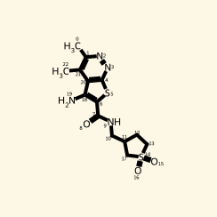 Cc1nnc2sc(C(=O)NCC3CCS(=O)(=O)C3)c(N)c2c1C